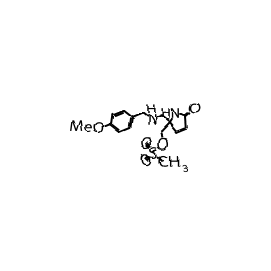 COc1ccc(CNCC2(COS(C)(=O)=O)CCC(=O)N2)cc1